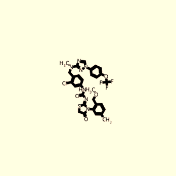 COCc1ccc(C)cc1N1C(=O)CS/C1=N\C(=O)Nc1ccc(CN(C)c2ncn(-c3ccc(OC(F)(F)F)cc3)n2)c(Cl)c1